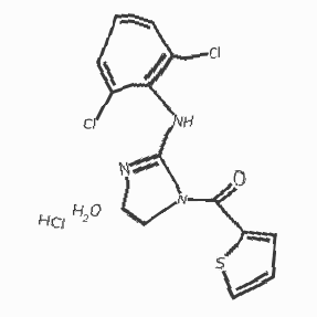 Cl.O.O=C(c1cccs1)N1CCN=C1Nc1c(Cl)cccc1Cl